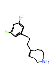 Fc1cc(F)cc(CCC2CCNCC2)c1